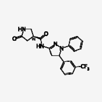 O=C1C[C@H](C(=O)NC2=NN(c3ccccc3)C(c3cccc(C(F)(F)F)c3)C2)CN1